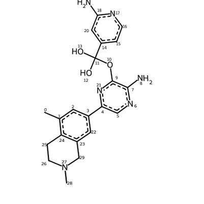 Cc1cc(-c2cnc(N)c(OC(O)(O)c3ccnc(N)c3)n2)cc2c1CCN(C)C2